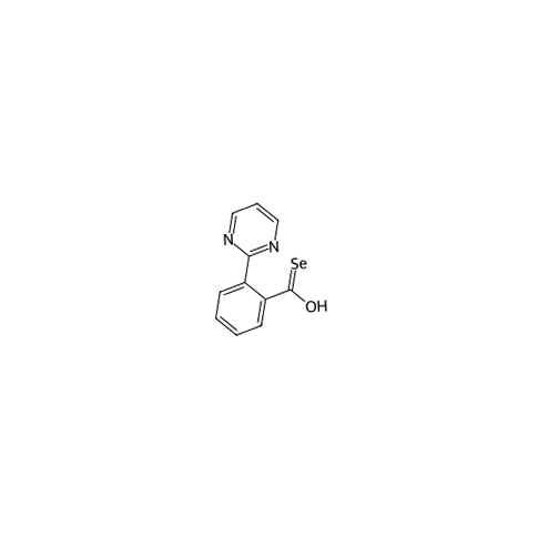 OC(=[Se])c1ccccc1-c1ncccn1